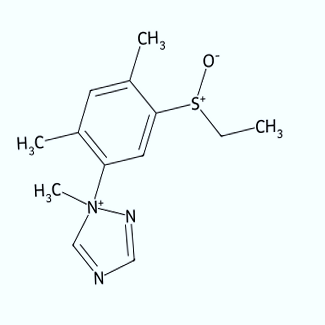 CC[S+]([O-])c1cc([N+]2(C)C=NC=N2)c(C)cc1C